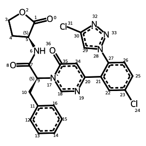 O=C1OCC[C@@H]1NC(=O)[C@H](Cc1ccccc1)n1cnc(-c2cc(Cl)ccc2-n2cc(Cl)nn2)cc1=O